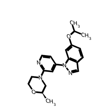 CC(C)Oc1ccc2cnn(-c3ccnc(N4CCO[C@H](C)C4)c3)c2c1